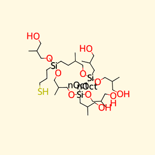 CCCCCCCC[Si](CC(C)CO)(OCC(C)CO)OCC(C)CC[Si](CCCS)(OCC(C)CO)OCC(C)CO[Si](CCCCCCCC)(CC(C)CO)OCC(C)CO